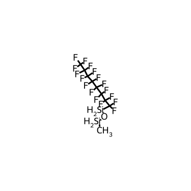 C[SiH2]O[SiH2]C(F)(F)C(F)(F)C(F)(F)C(F)(F)C(F)(F)C(F)(F)C(F)(F)C(F)(F)F